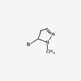 CN1N=[C]CC1Br